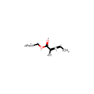 CC=C=C(CC)C(=O)OCCCCCC